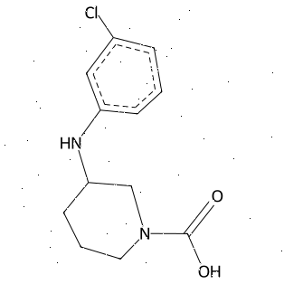 O=C(O)N1CCCC(Nc2cccc(Cl)c2)C1